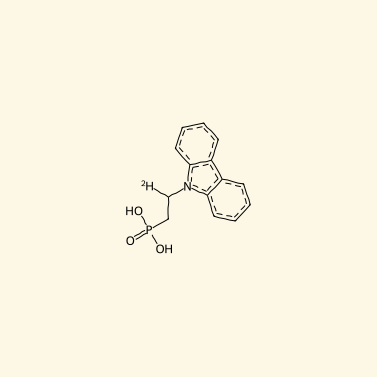 [2H]C(CP(=O)(O)O)n1c2ccccc2c2ccccc21